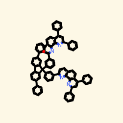 c1ccc(-c2ccc3c(c2)C(c2cccc(-c4ccc5ccc6c(-c7ccccc7)cc(-c7ccccc7)nc6c5n4)c2)(c2cccc(-c4ccc5ccc6c(-c7ccccc7)cc(-c7ccccc7)nc6c5n4)c2)c2cc(-c4ccccc4)ccc2-3)cc1